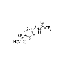 NS(=O)(=O)c1ccc(CNC(=O)C(F)(F)F)cc1